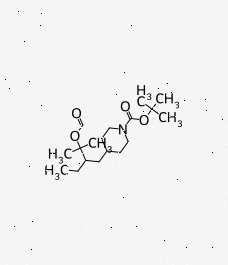 CCC(CC1CCN(C(=O)OC(C)(C)C)CC1)C(C)(C)OC=O